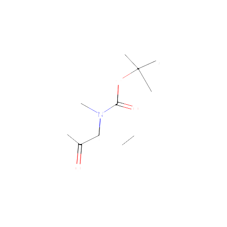 CC[C@H](C(C)=O)N(C)C(=O)OC(C)(C)C